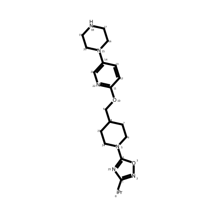 CC(C)c1noc(N2CCC(COc3ccc(N4CCNCC4)cn3)CC2)n1